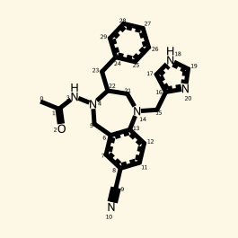 CC(=O)NN1Cc2cc(C#N)ccc2N(Cc2c[nH]cn2)CC1Cc1ccccc1